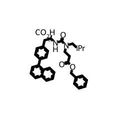 CC(C)CN(CCC(=O)OCc1ccccc1)C(=O)N[C@@H](Cc1ccc(-c2cccc3ccccc23)cc1)C(=O)O